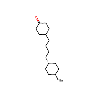 CCCC[C@H]1CC[C@H](CCCCC2CCC(=O)CC2)CC1